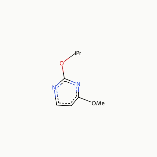 COc1ccnc(OC(C)C)n1